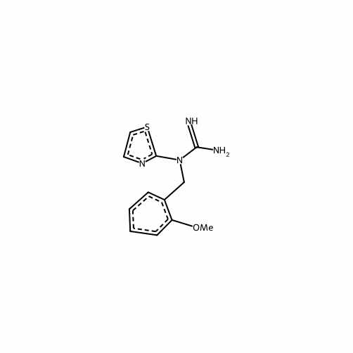 COc1ccccc1CN(C(=N)N)c1nccs1